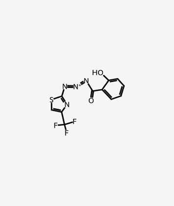 O=C(N=[N+]=Nc1nc(C(F)(F)F)cs1)c1ccccc1O